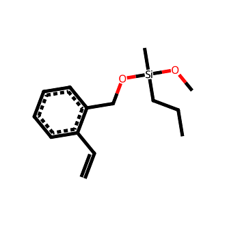 C=Cc1ccccc1CO[Si](C)(CCC)OC